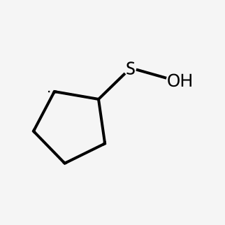 OSC1[CH]CCC1